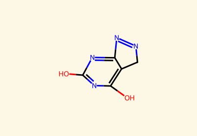 Oc1nc(O)c2c(n1)N=NC2